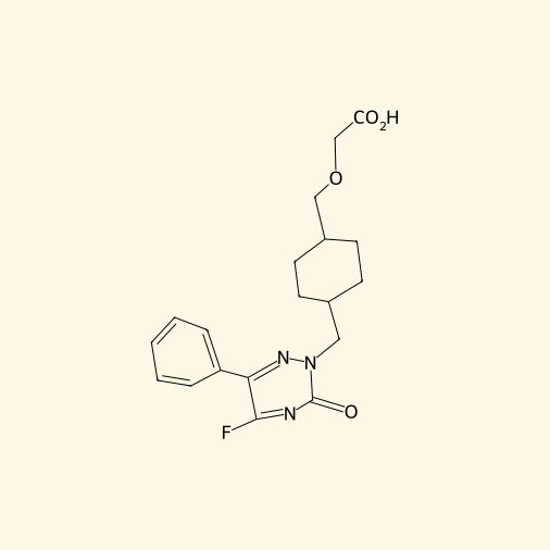 O=C(O)COCC1CCC(Cn2nc(-c3ccccc3)c(F)nc2=O)CC1